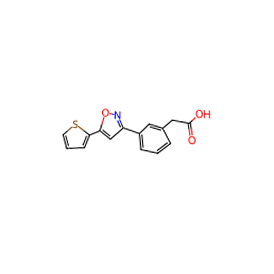 O=C(O)Cc1cccc(-c2cc(-c3cccs3)on2)c1